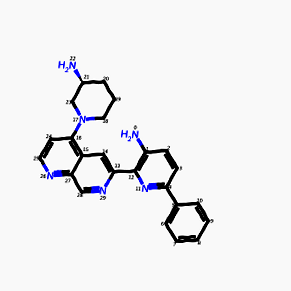 Nc1ccc(-c2ccccc2)nc1-c1cc2c(N3CCC[C@H](N)C3)ccnc2cn1